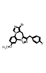 COc1ccc2c(c1)-n1nnc(Cc3ccc(F)cc3)c1Cc1c(Br)ncn1-2